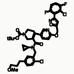 COCCCc1ccc(Cl)c(CN(C(=O)C2=C(c3ccc(OCc4cc(-c5c(F)ccc(F)c5Cl)no4)nc3)CCN(C(=O)OC(C)(C)C)C2)C2CC2)c1